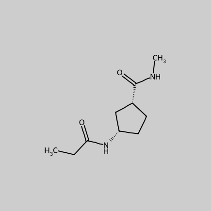 CCC(=O)N[C@H]1CC[C@@H](C(=O)NC)C1